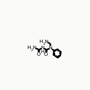 NCN(C(=O)NC(N)=O)c1ccccc1